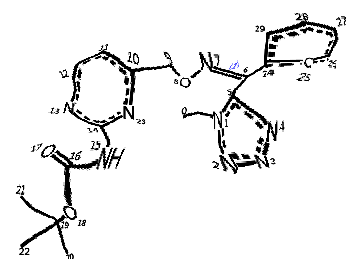 Cn1nnnc1/C(=N\OCc1ccnc(NC(=O)OC(C)(C)C)n1)c1ccccc1